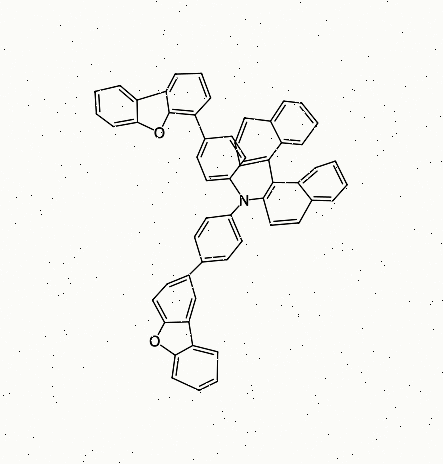 c1ccc2c(-c3c(N(c4ccc(-c5ccc6oc7ccccc7c6c5)cc4)c4ccc(-c5cccc6c5oc5ccccc56)cc4)ccc4ccccc34)cccc2c1